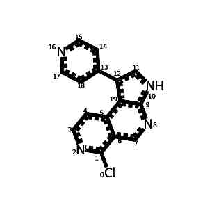 Clc1nccc2c1cnc1[nH]cc(-c3ccncc3)c12